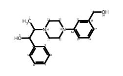 CC(C(O)c1ccccc1)N1CCN(c2cccc(CO)c2)CC1